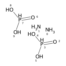 N.N.O=[PH](O)O.O=[PH](O)O